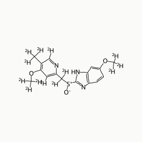 [2H]c1nc(C([2H])([2H])[S+]([O-])c2nc3ccc(OC([2H])([2H])[2H])cc3[nH]2)c([2H])c(OC([2H])([2H])[2H])c1C([2H])([2H])[2H]